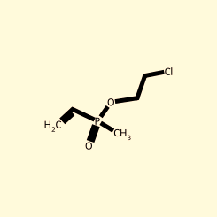 C=CP(C)(=O)OCCCl